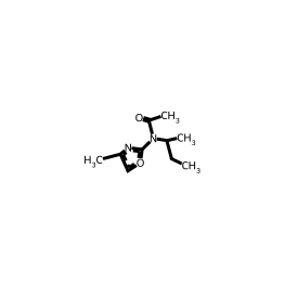 CCC(C)N(C(C)=O)c1nc(C)co1